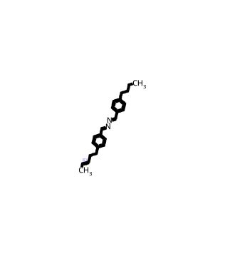 C/C=C/CCc1ccc(C=NN=Cc2ccc(CCCC)cc2)cc1